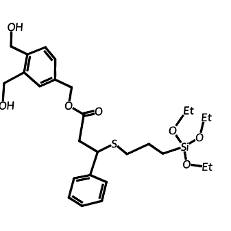 CCO[Si](CCCSC(CC(=O)OCc1ccc(CO)c(CO)c1)c1ccccc1)(OCC)OCC